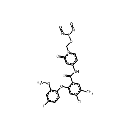 COc1cc(F)ccc1Oc1cc(Cl)c(C)cc1C(=O)Nc1ccn(COP(N=O)N=O)c(=O)c1